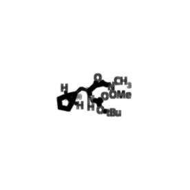 CON(C)C1OC1[C@H](C[C@H]1[C@@H]2CCC[C@@H]21)NC(=O)OC(C)(C)C